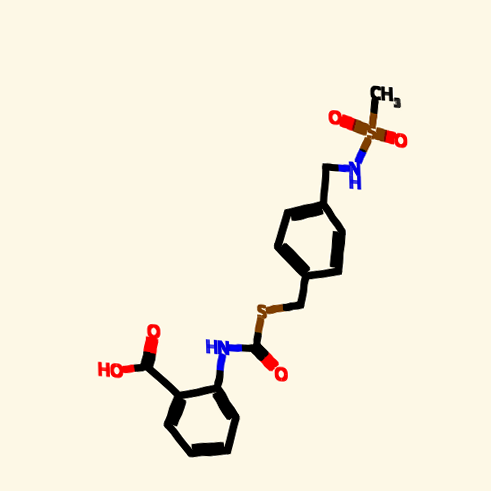 CS(=O)(=O)NCc1ccc(CSC(=O)Nc2ccccc2C(=O)O)cc1